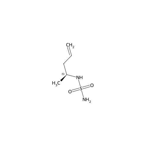 C=CC[C@H](C)NS(N)(=O)=O